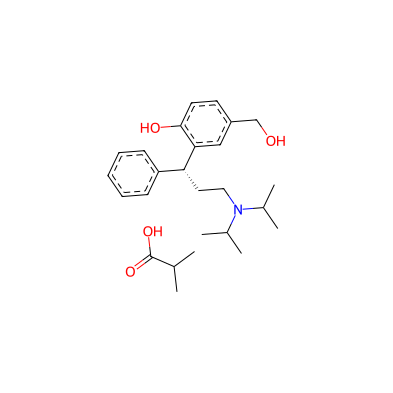 CC(C)C(=O)O.CC(C)N(CC[C@H](c1ccccc1)c1cc(CO)ccc1O)C(C)C